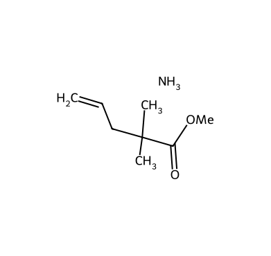 C=CCC(C)(C)C(=O)OC.N